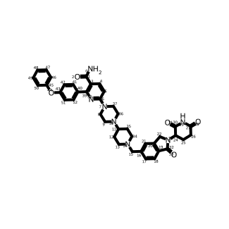 NC(=O)c1ccc(N2CCN(C3CCN(Cc4ccc5c(c4)CN(C4CCC(=O)NC4=O)C5=O)CC3)CC2)nc1-c1ccc(Oc2ccccc2)cc1